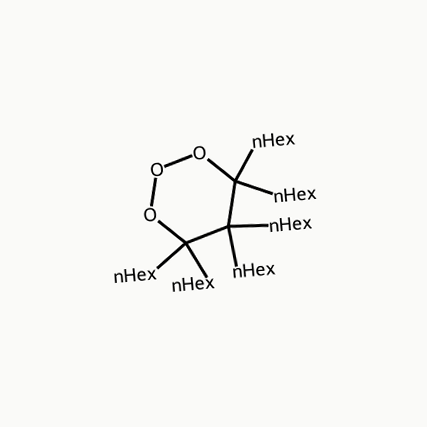 CCCCCCC1(CCCCCC)OOOC(CCCCCC)(CCCCCC)C1(CCCCCC)CCCCCC